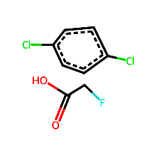 Clc1ccc(Cl)cc1.O=C(O)CF